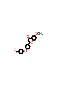 COc1ccc2oc(-c3ccc(Oc4ccc(C=O)cc4)cc3)cc(=O)c2c1